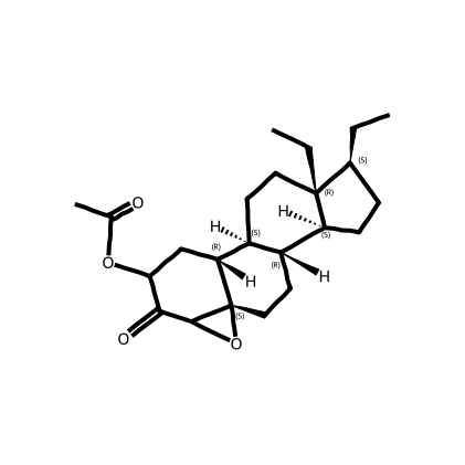 CC[C@H]1CC[C@H]2[C@@H]3CC[C@@]45OC4C(=O)C(OC(C)=O)C[C@@H]5[C@H]3CC[C@]12CC